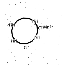 C1CNCCNCCCNCCNC1.[Cl-].[Cl-].[Mn+2]